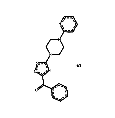 Cl.O=C(c1ccccc1)c1nsc(N2CCN(c3ccccn3)CC2)n1